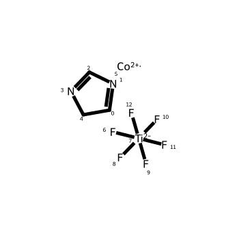 C1=NC=NC1.[Co+2].[F][Ti-2]([F])([F])([F])([F])[F]